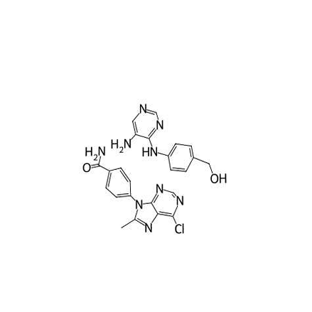 Cc1nc2c(Cl)ncnc2n1-c1ccc(C(N)=O)cc1.Nc1cncnc1Nc1ccc(CO)cc1